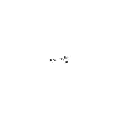 P.[KH].[NaH].[SeH2]